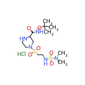 CN(C)S(=O)(=O)NCCS(=O)(=O)N1CCNC(C(=O)NOC(C)(C)C)C1.Cl